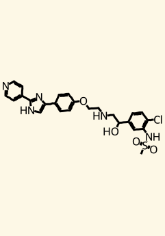 CS(=O)(=O)Nc1cc(C(O)CNCCOc2ccc(-c3c[nH]c(-c4ccncc4)n3)cc2)ccc1Cl